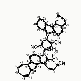 C#C/C=C\c1c(C)n(C(=C)/C(C#N)=C\C(=C(/C)C#N)n2c3ccccc3c3c4ccccc4ccc32)c2ccc3c4c(sc3c12)C#CCC=C4